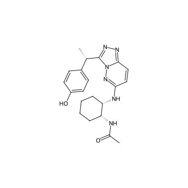 CC(=O)N[C@@H]1CCCC[C@@H]1Nc1ccc2nnc([C@@H](C)c3ccc(O)cc3)n2n1